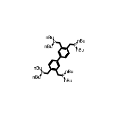 CCCCP(CCCC)Cc1ccc(-c2ccc(CP(CCCC)CCCC)c(CP(CCCC)CCCC)c2)cc1CP(CCCC)CCCC